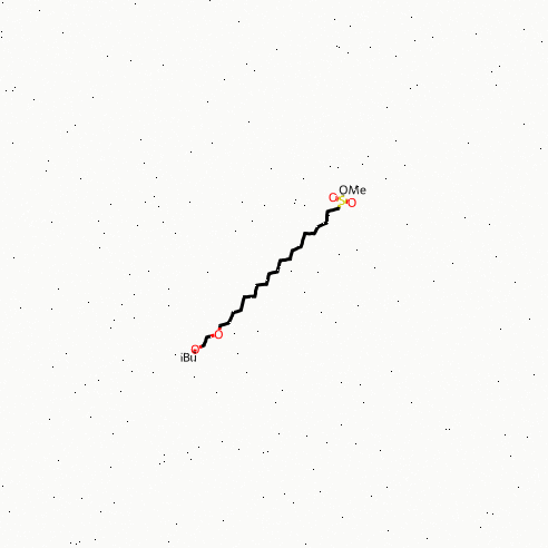 CCC(C)OCCOCCCCCCCCCCCCCCCCCCCCS(=O)(=O)OC